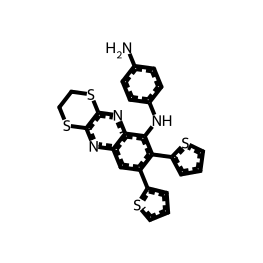 Nc1ccc(Nc2c(-c3cccs3)c(-c3cccs3)cc3nc4c(nc23)SCCS4)cc1